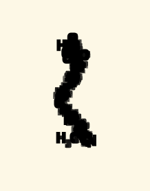 Cn1c2ccncc2c2ccc(-c3ccc(N4CC(OC5CCN(CCN6CCN(c7ccc8c(c7)C(=O)N(C7CCC(=O)NC7=O)C8=O)CC6)CC5)C4)nc3)cc21